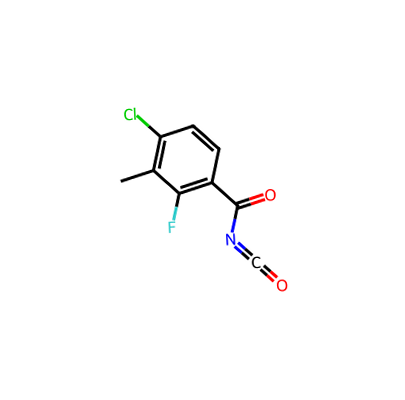 Cc1c(Cl)ccc(C(=O)N=C=O)c1F